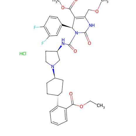 CCOC(=O)c1ccccc1[C@H]1CC[C@H](N2CC[C@@H](NC(=O)N3C(=O)NC(COC)=C(C(=O)OC)[C@@H]3c3ccc(F)c(F)c3)C2)CC1.Cl